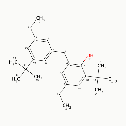 CCc1cc(Cc2cc(CC)cc(C(C)(C)C)c2O)cc(C(C)(C)C)c1